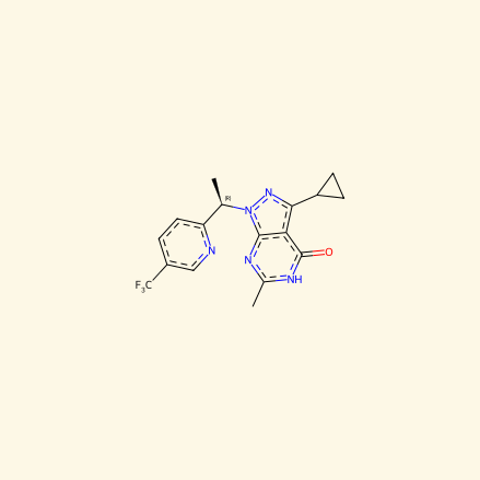 Cc1nc2c(c(C3CC3)nn2[C@H](C)c2ccc(C(F)(F)F)cn2)c(=O)[nH]1